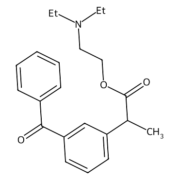 CCN(CC)CCOC(=O)C(C)c1cccc(C(=O)c2ccccc2)c1